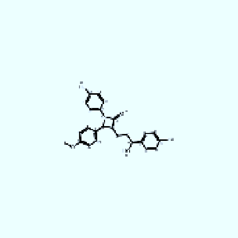 COc1ccc(C2C(CCC(O)c3ccc(F)cc3)C(=O)N2c2ccc(O)cc2)cc1